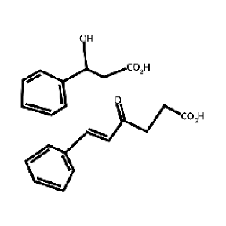 O=C(O)CC(O)c1ccccc1.O=C(O)CCC(=O)C=Cc1ccccc1